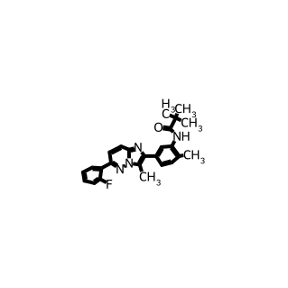 Cc1ccc(-c2nc3ccc(-c4ccccc4F)nn3c2C)cc1NC(=O)C(C)(C)C